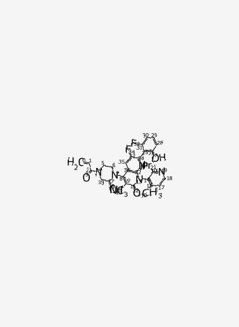 C=CC(=O)N1CCN(c2c(C#N)c(=O)n(-c3c(C)ccnc3C(C)C)c3nc(-c4c(O)cccc4F)c(F)cc23)[C@@H](C)C1